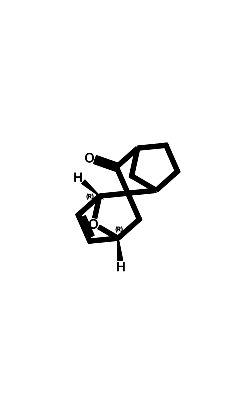 O=C1C2CCC(C2)C12C[C@@H]1C=C[C@H]2O1